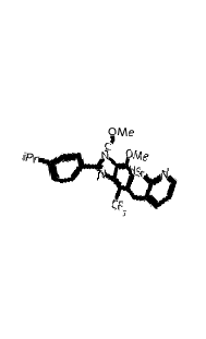 COCCn1c(-c2ccc(C(C)C)cc2)nc2c(C(F)(F)F)c(Cc3cccn[c]3[SrH])cc(OC)c21